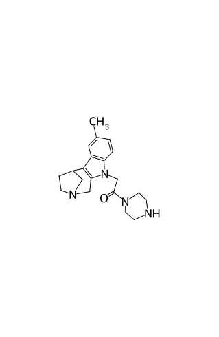 Cc1ccc2c(c1)c1c(n2CC(=O)N2CCNCC2)CN2CCC1C2